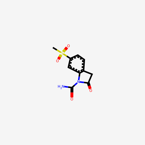 CS(=O)(=O)c1ccc2c(c1)N(C(N)=O)C(=O)C2